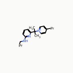 CC(C)CNc1cccc(C(C)(C)[n+]2ccc(C(C)C)cc2)n1